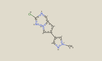 Cn1cc(-c2cc3cnc(Cl)nn3c2)cn1